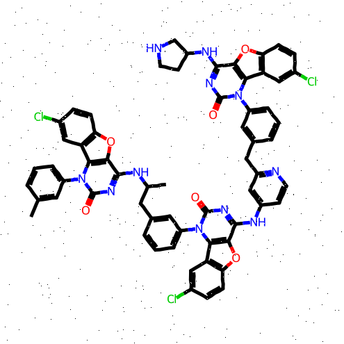 Cc1cccc(-n2c(=O)nc(NC(C)Cc3cccc(-n4c(=O)nc(Nc5ccnc(Cc6cccc(-n7c(=O)nc(NC8CCNC8)c8oc9ccc(Cl)cc9c87)c6)c5)c5oc6ccc(Cl)cc6c54)c3)c3oc4ccc(Cl)cc4c32)c1